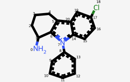 NC1CCCc2c1n(-c1ccccc1)c1ccc(Cl)cc21